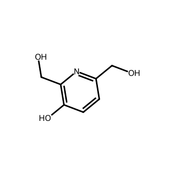 OCc1ccc(O)c(CO)n1